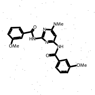 CNc1cc(NC(=O)c2cccc(OC)c2)nc(NC(=O)c2cccc(OC)c2)n1